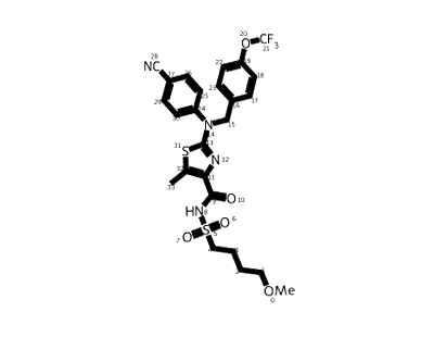 COCCCCS(=O)(=O)NC(=O)c1nc(N(Cc2ccc(OC(F)(F)F)cc2)c2ccc(C#N)cc2)sc1C